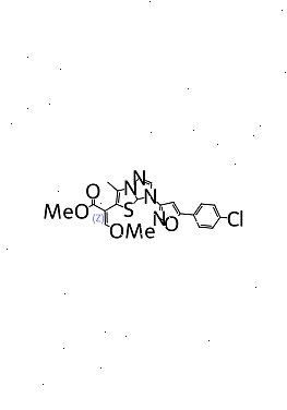 CO/C=C(/C(=O)OC)C1=C(C)N2N=CN(c3cc(-c4ccc(Cl)cc4)on3)C2S1